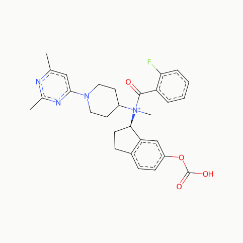 Cc1cc(N2CCC([N+](C)(C(=O)c3ccccc3F)[C@@H]3CCc4ccc(OC(=O)O)cc43)CC2)nc(C)n1